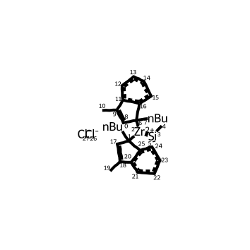 CCCC[C]1([Zr+2](=[Si](C)C)[C]2(CCCC)C=C(C)c3ccccc32)C=C(C)c2ccccc21.[Cl-].[Cl-]